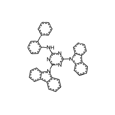 c1ccc(-c2ccccc2Nc2nc(-n3c4ccccc4c4ccccc43)nc(-n3c4ccccc4c4ccccc43)n2)cc1